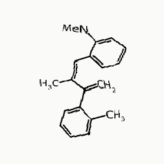 C=C(/C(C)=C\c1ccccc1NC)c1ccccc1C